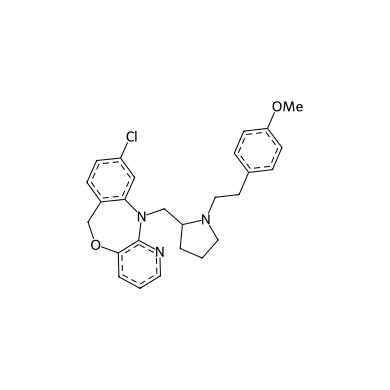 COc1ccc(CCN2CCCC2CN2c3cc(Cl)ccc3COc3cccnc32)cc1